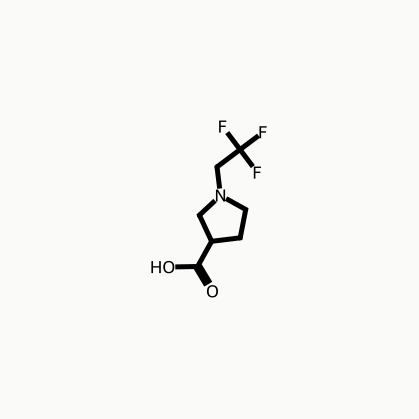 O=C(O)C1CCN(CC(F)(F)F)C1